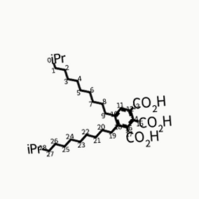 CC(C)CCCCCCCCCc1cc(C(=O)O)c(C(=O)O)c(C(=O)O)c1CCCCCCCCCC(C)C